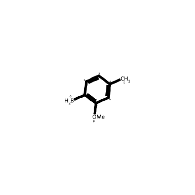 Bc1ccc(C)cc1OC